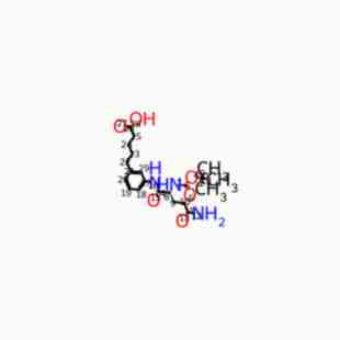 CC(C)(C)OC(=O)N[C@@H](CCC(N)=O)C(=O)Nc1cccc(CCCCC(=O)O)c1